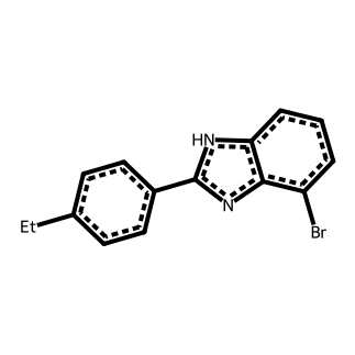 CCc1ccc(-c2nc3c(Br)cccc3[nH]2)cc1